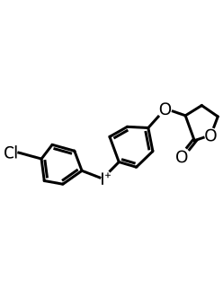 O=C1OCCC1Oc1ccc([I+]c2ccc(Cl)cc2)cc1